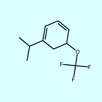 CC(C)C1=CC=CC(OC(F)(F)F)C1